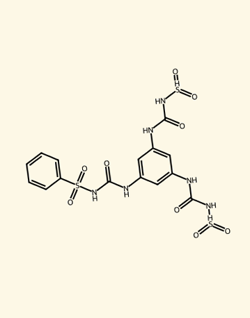 O=C(Nc1cc(NC(=O)N[SH](=O)=O)cc(NC(=O)NS(=O)(=O)c2ccccc2)c1)N[SH](=O)=O